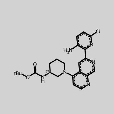 CC(C)(C)OC(=O)N[C@H]1CCCN(c2ccnc3cnc(-c4nc(Cl)ccc4N)cc23)C1